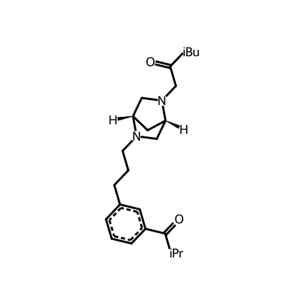 CCC(C)C(=O)CN1C[C@@H]2C[C@H]1CN2CCCc1cccc(C(=O)C(C)C)c1